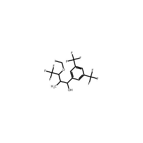 CC(C(O)c1cc(C(F)(F)F)cc(C(F)(F)F)c1)C(OCI)C(F)(F)F